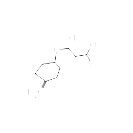 C=C1CCC(O[C@H](C)CC(C)C)CC1